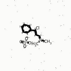 C[N+](C)=CC=C(Cl)c1ccccc1.[O-][Cl+3]([O-])([O-])[O-]